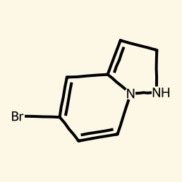 BrC1=CC2=CCNN2C=C1